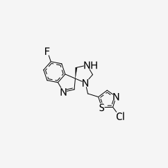 Fc1ccc2c(c1)[C@]1(C=N2)CNCN1Cc1cnc(Cl)s1